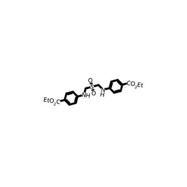 CCOC(=O)c1ccc(NCS(=O)(=O)CNc2ccc(C(=O)OCC)cc2)cc1